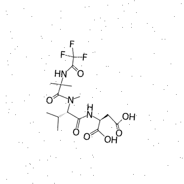 CC(C)[C@@H](C(=O)N[C@@H](CC(=O)O)C(=O)O)N(C)C(=O)C(C)(C)NC(=O)C(F)(F)F